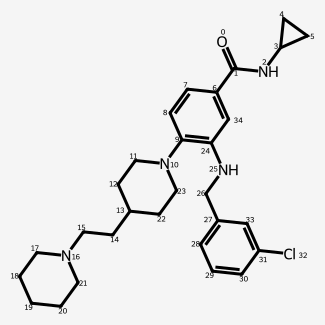 O=C(NC1CC1)c1ccc(N2CCC(CCN3CCCCC3)CC2)c(NCc2cccc(Cl)c2)c1